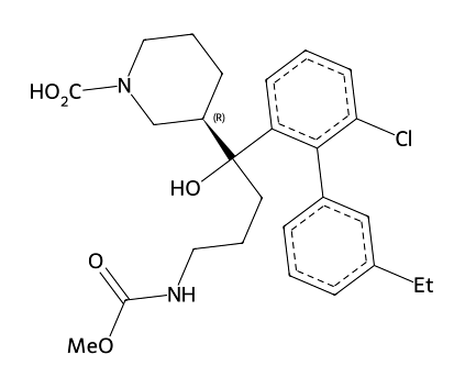 CCc1cccc(-c2c(Cl)cccc2C(O)(CCCNC(=O)OC)[C@@H]2CCCN(C(=O)O)C2)c1